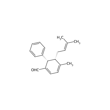 CC(C)=CC[C@@H]1C(C)=CC=C(C=O)[C@@H]1c1ccccc1